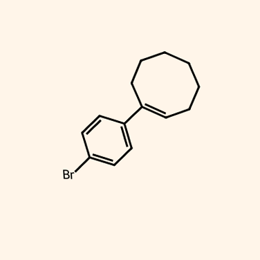 Brc1ccc(C2=CCCCCCC2)cc1